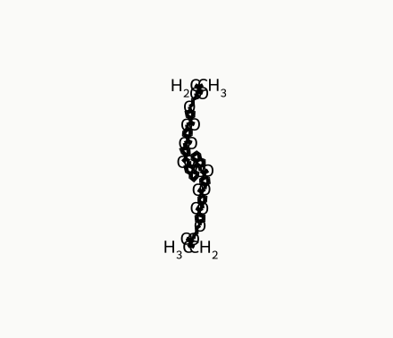 C=C(C)C(=O)OCCCOc1ccc(C(=O)Oc2ccc(C(=O)Oc3ccc(C(=O)Oc4ccc5ccccc5c4-c4c(OC(=O)c5ccc(OC(=O)c6ccc(OC(=O)c7ccc(OCCCOC(=O)C(=C)C)cc7)cc6)cc5)ccc5ccccc45)cc3)cc2)cc1